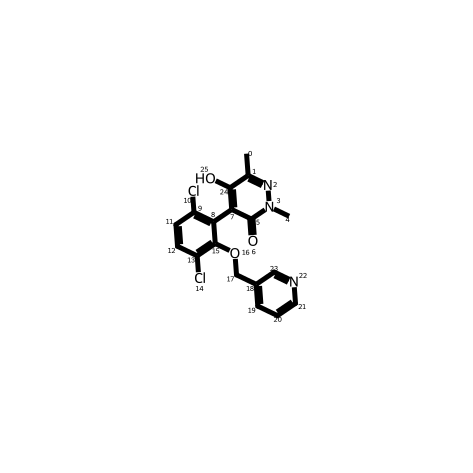 Cc1nn(C)c(=O)c(-c2c(Cl)ccc(Cl)c2OCc2cccnc2)c1O